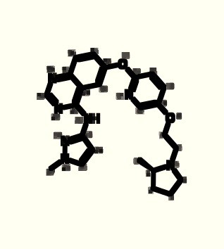 C[C@@H]1CCCN1CCOc1ccc(Oc2ccc3ncnc(Nc4ccn(C)n4)c3c2)nc1